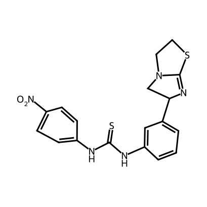 O=[N+]([O-])c1ccc(NC(=S)Nc2cccc(C3CN4CCSC4=N3)c2)cc1